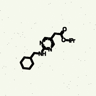 CC(C)OC(=O)Cc1cnc(NCC2CCCCC2)nc1